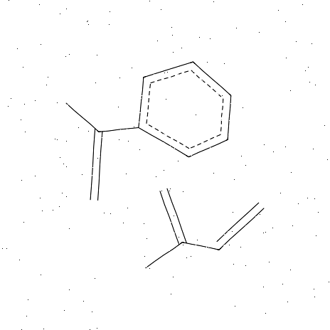 C=C(C)c1ccccc1.C=CC(=C)C